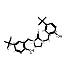 CC(C)(C)c1ccc(O)c(CN2CCN(Cc3cc(C(C)(C)C)ccc3O)C2=S)c1